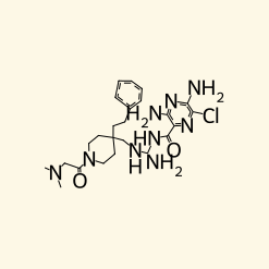 CN(C)CC(=O)N1CCC(CCc2ccccc2)(CNC(N)NC(=O)c2nc(Cl)c(N)nc2N)CC1